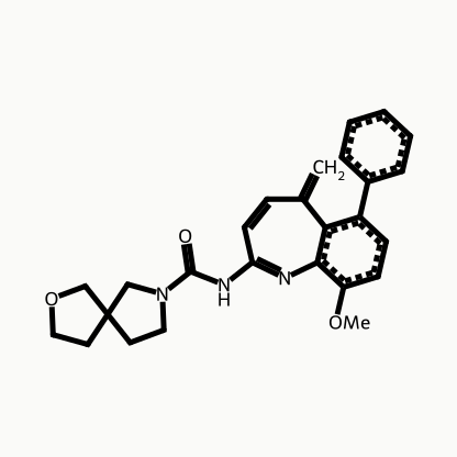 C=C1C=CC(NC(=O)N2CCC3(CCOC3)C2)=Nc2c(OC)ccc(-c3ccccc3)c21